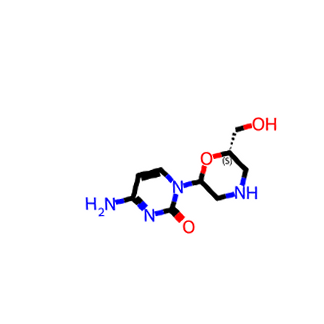 Nc1ccn(C2CNC[C@@H](CO)O2)c(=O)n1